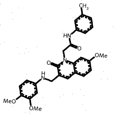 COc1ccc2cc(CNc3ccc(OC)c(OC)c3)c(=O)n(CC(=O)Nc3cccc(C)c3)c2c1